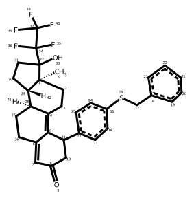 C[C@]12CCC3=C4C(=CC(=O)CC4c4ccc(SCc5ccccc5)cc4)CC[C@H]3[C@@H]1CCC2(O)C(F)(F)C(F)(F)F